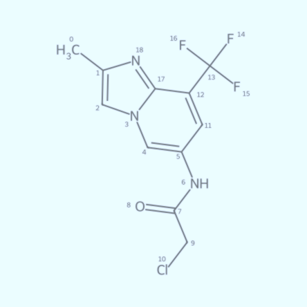 Cc1cn2cc(NC(=O)CCl)cc(C(F)(F)F)c2n1